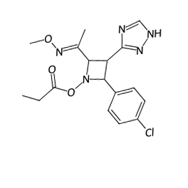 CCC(=O)ON1C(C(C)=NOC)C(c2nc[nH]n2)C1c1ccc(Cl)cc1